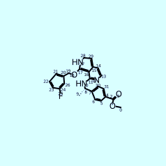 COC(=O)c1ccc([C@H](C)Nc2nccc3c2=C(OCc2cccc(F)c2)NCC=3)cc1